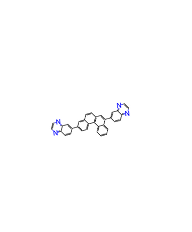 c1ccc2c(c1)c(-c1ccc3nccnc3c1)cc1ccc3cc(-c4ccc5nccnc5c4)ccc3c12